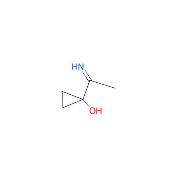 CC(=N)C1(O)CC1